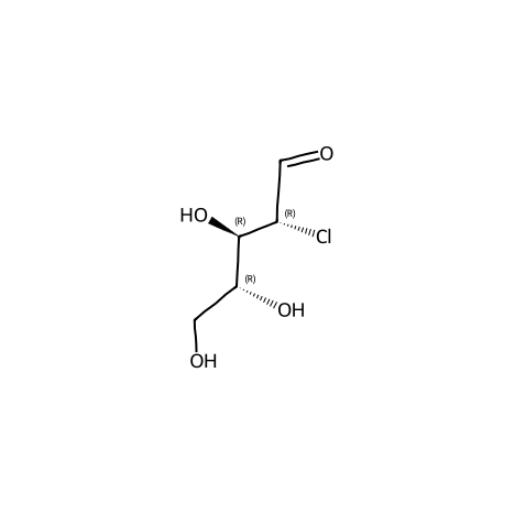 O=C[C@H](Cl)[C@H](O)[C@H](O)CO